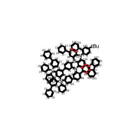 CC(C)(C)c1ccc(N2c3ccc(-c4ccccc4)cc3B3c4ccc(-c5cc([Si](c6ccccc6)(c6ccccc6)c6cccc(-c7ccccc7)c6)cc([Si](c6ccccc6)(c6ccccc6)c6cccc(-c7ccccc7)c6)c5)cc4N(c4ccccc4-c4ccccc4)c4cc(-n5c6ccccc6c6ccccc65)cc2c43)c(-c2ccccc2)c1